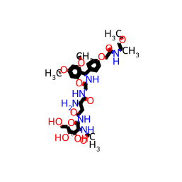 COCC(C)NC(=O)COc1ccc(C(NC(=O)CNC(=O)[C@@H](N)CC(=O)N[C@@H]2OC(CO)[C@@H](O)[C@H](O)C2NC(C)=O)c2ccc(OC)cc2OC)cc1